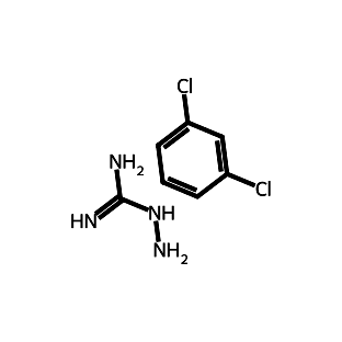 Clc1cccc(Cl)c1.N=C(N)NN